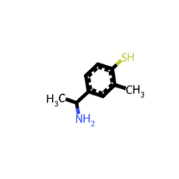 Cc1cc(C(C)N)ccc1S